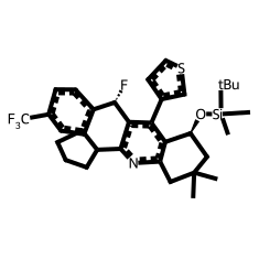 CC1(C)Cc2nc(C3CCCC3)c([C@@H](F)c3ccc(C(F)(F)F)cc3)c(-c3ccsc3)c2[C@@H](O[Si](C)(C)C(C)(C)C)C1